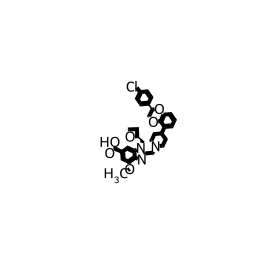 COc1cc(C(=O)O)cc2c1nc(CN1CCC(c3cccc4c3OC[C@@H](c3ccc(Cl)cc3)O4)CC1)n2C[C@@H]1CCO1